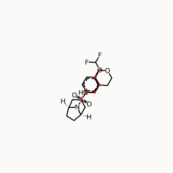 O=S(=O)(c1ccc(OC(F)F)cc1)N1[C@@H]2CC[C@H]1C[C@H](NCC1CCOCC1)C2